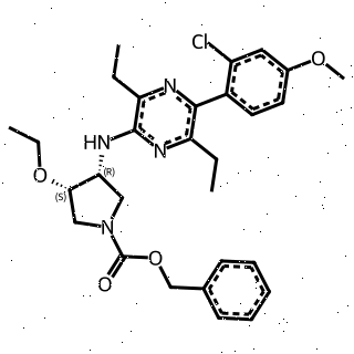 CCO[C@H]1CN(C(=O)OCc2ccccc2)C[C@H]1Nc1nc(CC)c(-c2ccc(OC)cc2Cl)nc1CC